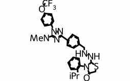 CNc1nc(-c2ccc(CNNC3SCC(=O)N3c3ccccc3C(C)C)cc2)nn1-c1ccc(OC(F)(F)F)cc1